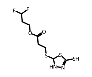 O=C(CCSC1NN=C(S)S1)OCCC(F)F